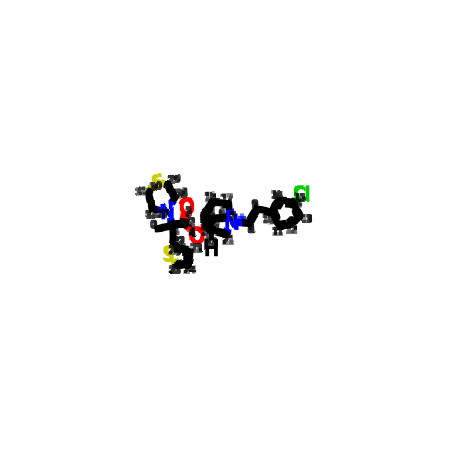 CC(C(=O)O[C@H]1C[N+]2(CCc3cccc(Cl)c3)CCC1CC2)(c1cccs1)N1CCSCC1